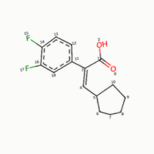 O=C(O)C(=CC1CCCCC1)c1ccc(F)c(F)c1